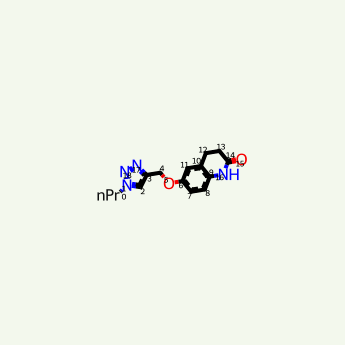 CCCn1cc(COc2ccc3c(c2)CCC(=O)N3)nn1